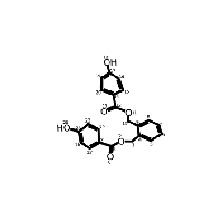 O=C(OCc1ccccc1COC(=O)c1ccc(O)cc1)c1ccc(O)cc1